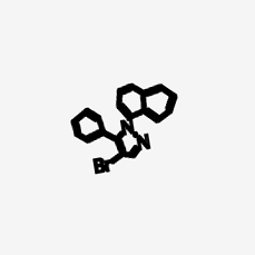 Brc1cnn(-c2cccc3ccccc23)c1-c1ccccc1